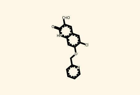 O=Cc1cc2cc(Cl)c(OCc3ccccn3)cc2[nH]c1=O